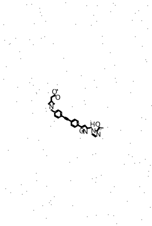 COC(=O)CC1CN(Cc2ccc(C#Cc3ccc(-c4cc(Cn5ccnc5[C@H](C)O)no4)cc3)cc2)C1